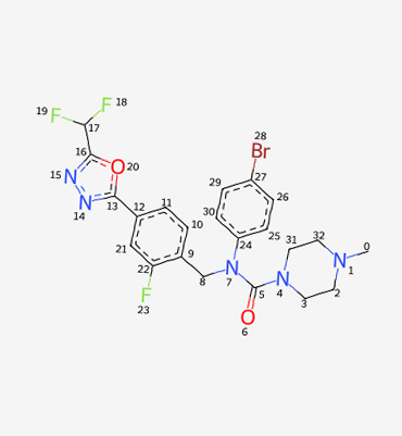 CN1CCN(C(=O)N(Cc2ccc(-c3nnc(C(F)F)o3)cc2F)c2ccc(Br)cc2)CC1